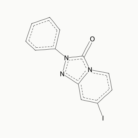 O=c1n(-c2ccccc2)nc2cc(I)ccn12